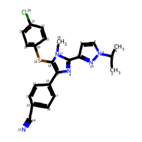 CC(C)n1ccc(-c2nc(-c3ccc(C#N)cc3)c(Sc3ccc(Cl)cc3)n2C)n1